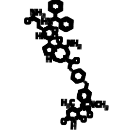 CC1=C(n2c(=O)n(C)c3cc(C[C@H]4CC[C@@H](CC(=O)N5CC[C@H]6CC[C@@H](C(=O)N[C@@H](CCC(N)=O)C(=O)NC(c7ccccc7)c7ccccc7)N6C(=O)[C@@H](N)C5)CC4)ccc32)C(=O)NC(=O)C1